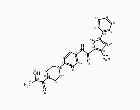 O=C(Nc1ccc(N2CCN(C(=O)C(O)C(F)(F)F)CC2)nc1)c1oc(-c2ccccc2)nc1C(F)(F)F